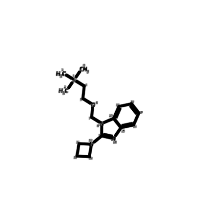 C[Si](C)(C)CCOCn1c(N2CCC2)nc2ccccc21